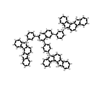 c1cc(-c2ccc3nc(-c4cccc(-n5c6ccccc6c6c7sc8ccccc8c7ccc65)c4)nc(-c4ccc(-n5c6ccccc6c6c7sc8ccccc8c7ccc65)cc4)c3c2)cc(-n2c3ccccc3c3c4sc5ccccc5c4ccc32)c1